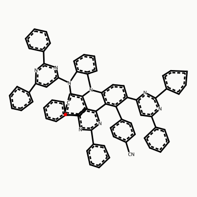 N#Cc1ccc(-c2c(-c3cc(-c4ccccc4)nc(-c4ccccc4)n3)ccc(N3c4ccccc4N(c4cc(-c5ccccc5)nc(-c5ccccc5)n4)c4ccccc43)c2-c2cc(-c3ccccc3)nc(-c3ccccc3)n2)cc1